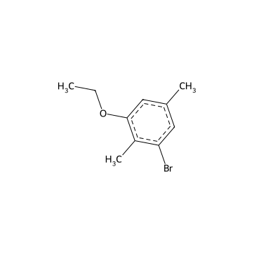 CCOc1cc(C)cc(Br)c1C